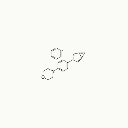 [c]1c2cc(-c3ccc(N4CCOCC4)cc3)cc1-2.[c]1ccccc1